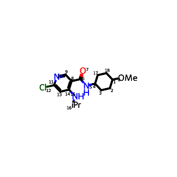 COC1CCC(NC(=O)c2cnc(Cl)cc2NC(C)C)CC1